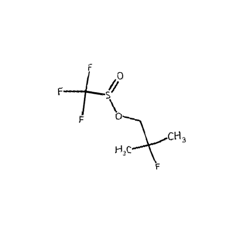 CC(C)(F)COS(=O)C(F)(F)F